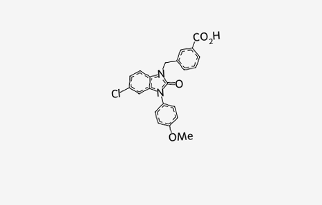 COc1ccc(-n2c(=O)n(Cc3cccc(C(=O)O)c3)c3ccc(Cl)cc32)cc1